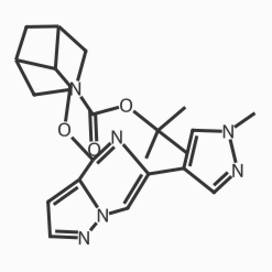 Cn1cc(-c2cn3nccc3c(OCC3C4CC3CN(C(=O)OC(C)(C)C)C4)n2)cn1